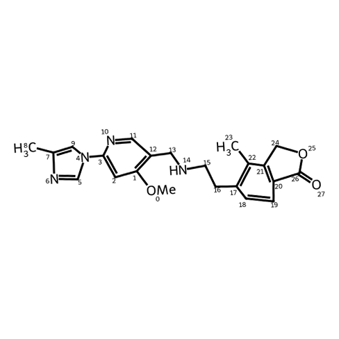 COc1cc(-n2cnc(C)c2)ncc1CNCCc1ccc2c(c1C)COC2=O